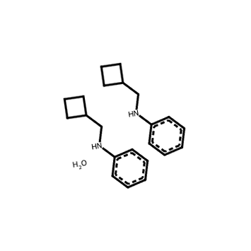 O.c1ccc(NCC2CCC2)cc1.c1ccc(NCC2CCC2)cc1